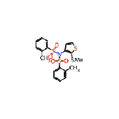 CSc1sccc1N(S(=O)(=O)c1ccccc1C)S(=O)(=O)c1ccccc1C